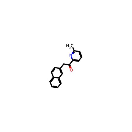 Cc1cccc(C(=O)Cc2ccc3ccccc3c2)n1